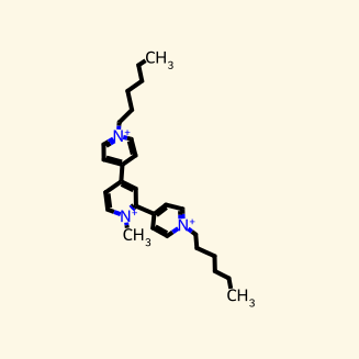 CCCCCC[n+]1ccc(-c2cc[n+](C)c(-c3cc[n+](CCCCCC)cc3)c2)cc1